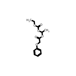 CCOC(=O)OC(C)OC(=O)COc1cc[c]cc1